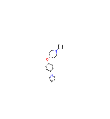 [c]1ccn(-c2ccc(OC3CCN(C4CCC4)CC3)cc2)c1